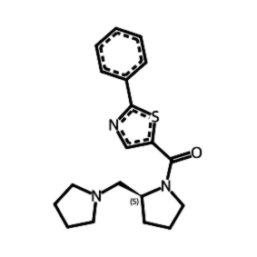 O=C(c1cnc(-c2ccccc2)s1)N1CCC[C@H]1CN1CCCC1